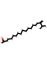 C=C(CCCCCCCCCCCCCCC(C)=O)C(C)C